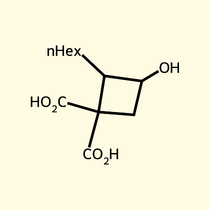 CCCCCCC1C(O)CC1(C(=O)O)C(=O)O